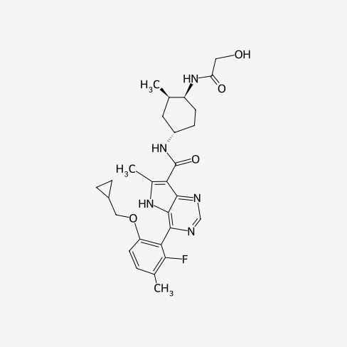 Cc1ccc(OCC2CC2)c(-c2ncnc3c(C(=O)N[C@H]4CC[C@H](NC(=O)CO)[C@H](C)C4)c(C)[nH]c23)c1F